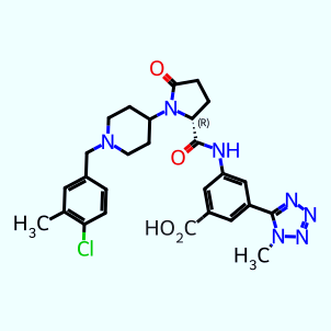 Cc1cc(CN2CCC(N3C(=O)CC[C@@H]3C(=O)Nc3cc(C(=O)O)cc(-c4nnnn4C)c3)CC2)ccc1Cl